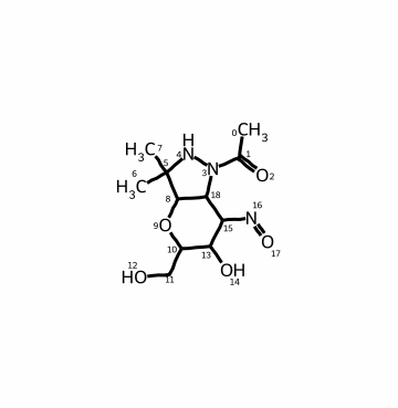 CC(=O)N1NC(C)(C)C2OC(CO)C(O)C(N=O)C21